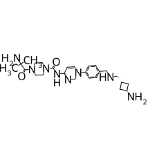 CC(C)(N)C(=O)N1CCN(C(=O)NC2=NCN(c3ccc(CNC[C@H]4C[C@@H](N)C4)cc3)C=C2)CC1